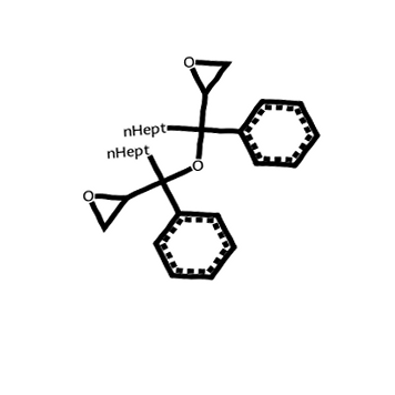 CCCCCCCC(OC(CCCCCCC)(c1ccccc1)C1CO1)(c1ccccc1)C1CO1